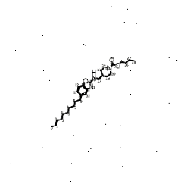 CCCCCCCCCCc1ccc2oc(NCC3CCN(C(=O)OCCCC)CC3)nc2c1